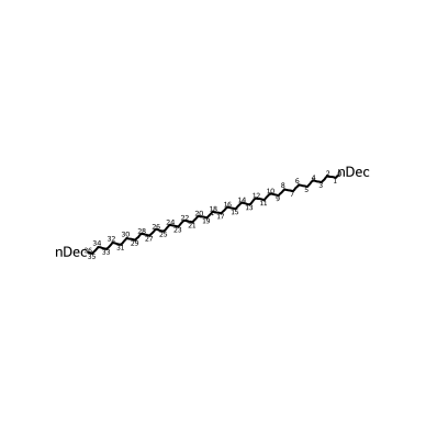 CCCCCCCCCCCCCCCCCCCCCCCCCCC[CH]CCCCCCCCCCCCCCCCCCCCCCCCCCC